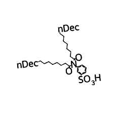 CCCCCCCCCCCCCCCCCC(=O)N(C(=O)CCCCCCCCCCCCCCCCC)c1cccc(S(=O)(=O)O)c1